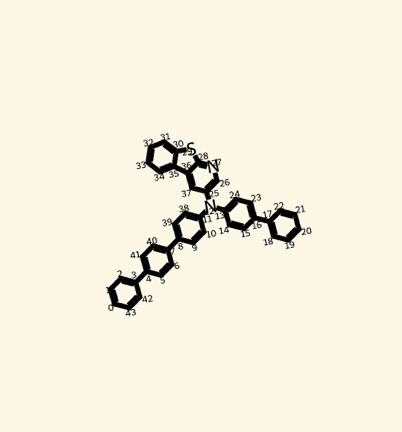 c1ccc(-c2ccc(-c3ccc(N(c4ccc(-c5ccccc5)cc4)c4cnc5sc6ccccc6c5c4)cc3)cc2)cc1